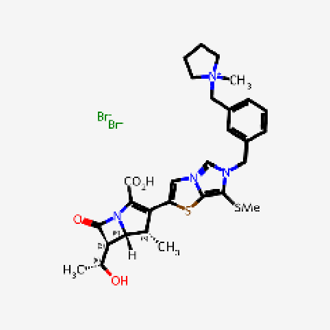 CSc1c2sc(C3=C(C(=O)O)N4C(=O)[C@H]([C@@H](C)O)[C@H]4[C@H]3C)c[n+]2cn1Cc1cccc(C[N+]2(C)CCCC2)c1.[Br-].[Br-]